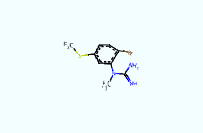 N=C(N)N(c1cc(SC(F)(F)F)ccc1Br)C(F)(F)F